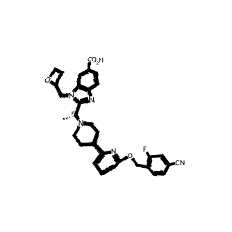 C[C@H](c1nc2ccc(C(=O)O)cc2n1CC1CCO1)N1CCC(c2cccc(OCc3ccc(C#N)cc3F)n2)CC1